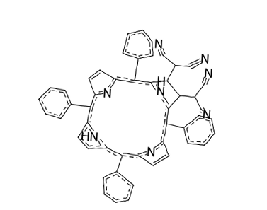 N#CC(C#N)C1c2[nH]c(c(-c3ccccc3)c3nc(c(-c4ccccc4)c4ccc([nH]4)c(-c4ccccc4)c4nc(c2-c2ccccc2)C=C4)C=C3)C1C(C#N)C#N